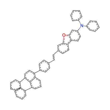 C(=C\c1ccc2c(c1)oc1cc(N(c3ccccc3)c3ccccc3)ccc12)/c1ccc(-c2ccc(-c3ccccc3)c3c(-c4ccccc4)cccc23)cc1